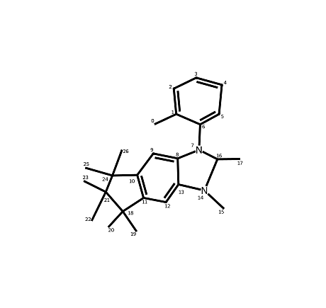 Cc1ccccc1N1c2cc3c(cc2N(C)C1C)C(C)(C)C(C)(C)C3(C)C